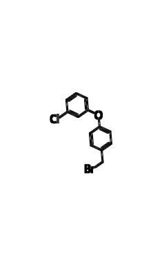 Clc1cccc(Oc2ccc(CBr)cc2)c1